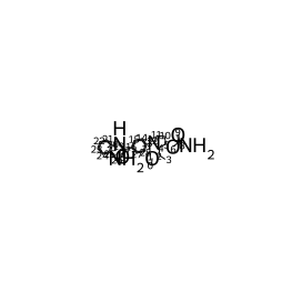 COC(C)C1C(OC(N)=O)CCN1c1ccc(C(=O)Nc2ccccc2N)cc1